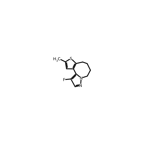 Cc1cc2c(s1)CCCCn1ncc(F)c1-2